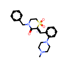 CN1CCN(c2ccccc2/C=C2/C(=O)N(Cc3ccccc3)CCS2(=O)=O)CC1